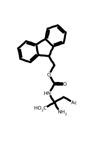 CC(=O)CC(N)(NC(=O)OCC1c2ccccc2-c2ccccc21)C(=O)O